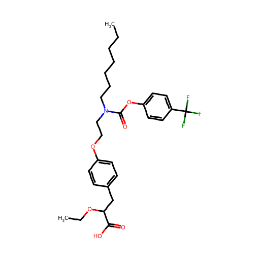 CCCCCCCN(CCOc1ccc(CC(OCC)C(=O)O)cc1)C(=O)Oc1ccc(C(F)(F)F)cc1